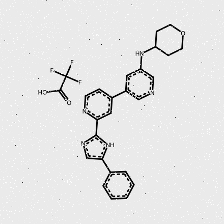 O=C(O)C(F)(F)F.c1ccc(-c2cnc(-c3cc(-c4cncc(NC5CCOCC5)c4)ccn3)[nH]2)cc1